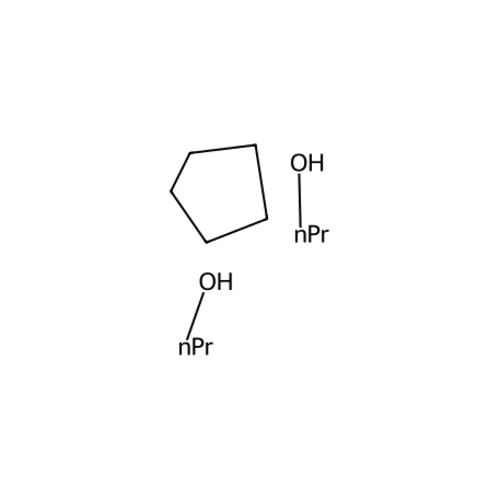 C1CCCC1.CCCO.CCCO